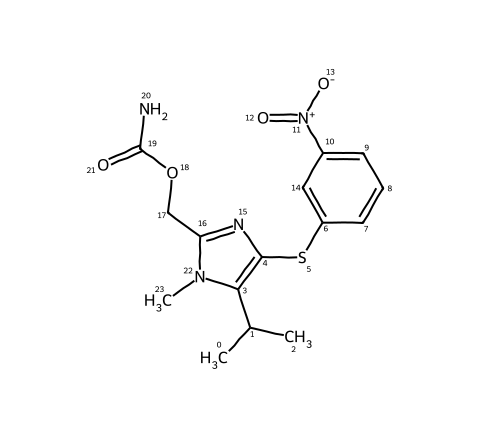 CC(C)c1c(Sc2cccc([N+](=O)[O-])c2)nc(COC(N)=O)n1C